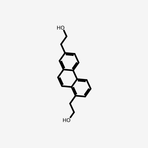 OCCc1ccc2c(ccc3c(CCO)cccc32)c1